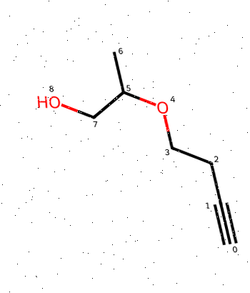 C#CCCOC(C)CO